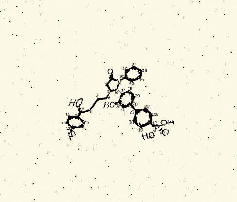 O=C1C[C@H](CCCC(O)c2ccc(F)cc2)[C@@H](c2ccc(-c3ccc(P(=O)(O)O)cc3)cc2O)N1c1ccccc1